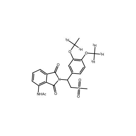 [2H]C([2H])([2H])Oc1ccc(C(CS(C)(=O)=O)N2C(=O)c3cccc(NC(C)=O)c3C2=O)cc1OC([2H])([2H])C